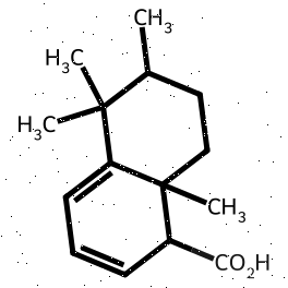 CC1CCC2(C)C(=CC=CC2C(=O)O)C1(C)C